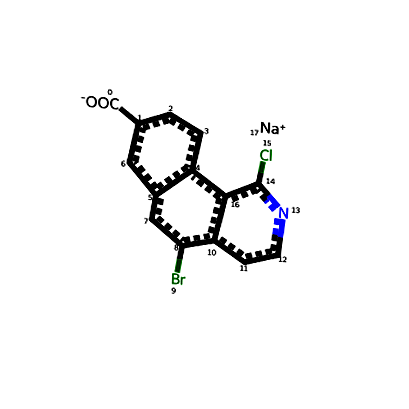 O=C([O-])c1ccc2c(c1)cc(Br)c1ccnc(Cl)c12.[Na+]